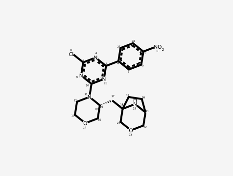 O=[N+]([O-])c1ccc(-c2nc(Cl)nc(N3CCOC[C@H]3CC34CCC(COC3)N4)n2)cc1